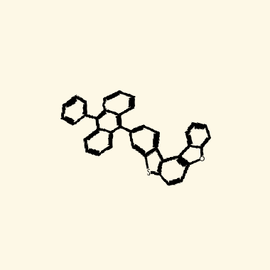 c1ccc(-c2c3ccccc3c(-c3ccc4c(c3)sc3ccc5oc6ccccc6c5c34)c3ccccc23)cc1